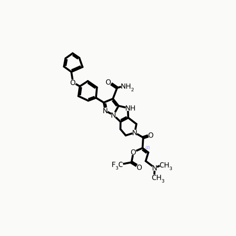 CN(C)C/C=C(\OC(=O)C(F)(F)F)C(=O)N1CCc2c([nH]c3c(C(N)=O)c(-c4ccc(Oc5ccccc5)cc4)nn23)C1